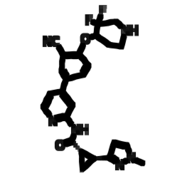 Cn1ccc([C@H]2C[C@@H]2C(=O)Nc2cc(-c3ccc(OC4CCNCC4(F)F)c(C#N)c3)ccn2)n1